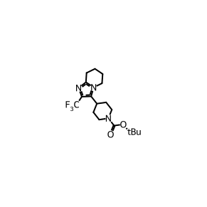 CC(C)(C)OC(=O)N1CCC(c2c(C(F)(F)F)nc3n2CCCC3)CC1